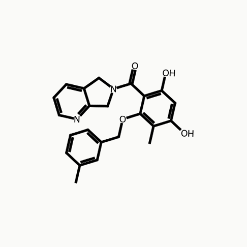 Cc1cccc(COc2c(C)c(O)cc(O)c2C(=O)N2Cc3cccnc3C2)c1